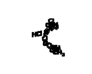 CS(=O)(=O)Nc1ccc(Oc2ccc(CN3CCC(N(Cc4ccccc4)C(=O)NC4CCCCC4)CC3)cc2)cc1.Cl